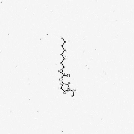 CCCCCCCCOC(=O)OC1C[CH]N(CC)C1